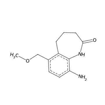 COCc1ccc(N)c2c1CCCC(=O)N2